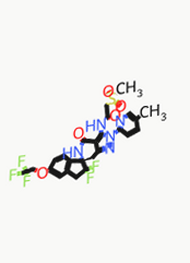 Cc1ccc(-n2nc3c(c2NC(=O)CS(C)(=O)=O)C(=O)N[C@@]2(C3)c3ccc(OCC(F)(F)F)cc3CC2(F)F)nc1